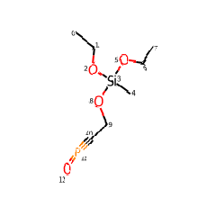 CCO[Si](C)(OCC)OCC#P=O